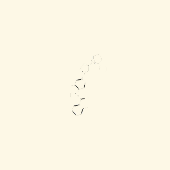 Cc1cc(N2CCC(N3CCC[C@H]3C)C2)ccc1NC(=O)c1ccccc1F